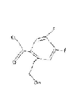 CCC(=O)c1cc(F)c(F)cc1CO